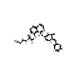 C[C@@H](Oc1cccc2ncnc(Nc3ccc(Oc4ccccn4)c(Cl)c3)c12)C(=O)NCCO